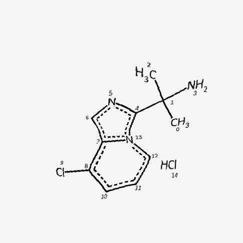 CC(C)(N)c1ncc2c(Cl)cccn12.Cl